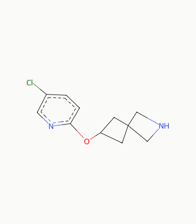 Clc1ccc(OC2CC3(CNC3)C2)nc1